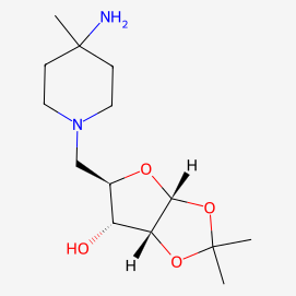 CC1(N)CCN(C[C@H]2O[C@@H]3OC(C)(C)O[C@@H]3[C@@H]2O)CC1